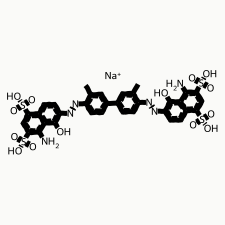 Cc1cc(-c2ccc(N=Nc3ccc4c(S(=O)(=O)O)cc(S(=O)(=O)O)c(N)c4c3O)c(C)c2)ccc1N=Nc1ccc2c(S(=O)(=O)O)cc(S(=O)(=O)O)c(N)c2c1O.[Na+]